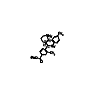 COC(=O)c1ccc([C@@H]2Nc3ccc(C)cc3[C@@H]3NCCC[C@@H]23)c(C)c1